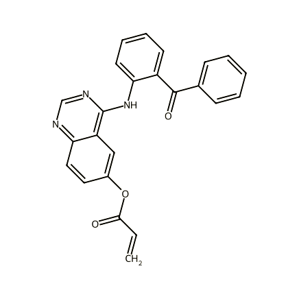 C=CC(=O)Oc1ccc2ncnc(Nc3ccccc3C(=O)c3ccccc3)c2c1